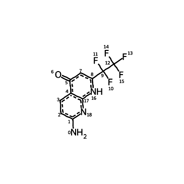 Nc1ccc2c(=O)cc(C(F)(F)C(F)(F)F)[nH]c2n1